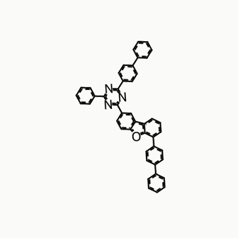 c1ccc(-c2ccc(-c3nc(-c4ccccc4)nc(-c4ccc5oc6c(-c7ccc(-c8ccccc8)cc7)cccc6c5c4)n3)cc2)cc1